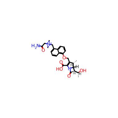 C[C@@H](O)[C@H]1C(=O)N2C(C(=O)O)=C(COc3cccc4c(C[N+](C)(C)CC(N)=O)cccc34)[C@H](C)[C@H]12